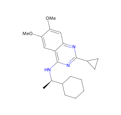 COc1cc2nc(C3CC3)nc(N[C@H](C)C3CCCCC3)c2cc1OC